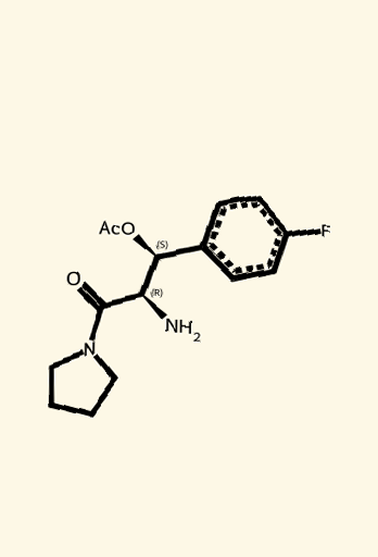 CC(=O)O[C@@H](c1ccc(F)cc1)[C@@H](N)C(=O)N1CCCC1